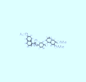 COc1cc2nccc(Oc3ccc(NC(=O)c4[c]ccc5cc(OC(C)=O)ccc45)cc3)c2cc1OC